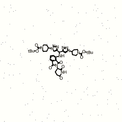 CC(C)(C)OC(=O)N1CCC(n2cc(C(Nc3cccc4c3C(=O)N(C3CCC(=O)NC3=O)C4=O)c3cn(C4CCN(C(=O)OC(C)(C)C)CC4)nn3)nn2)CC1